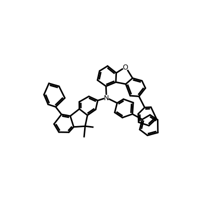 CC1(C)c2cc(N(c3ccc(-c4ccccc4)cc3)c3cccc4oc5ccc(-c6ccccc6)cc5c34)ccc2-c2c(-c3ccccc3)cccc21